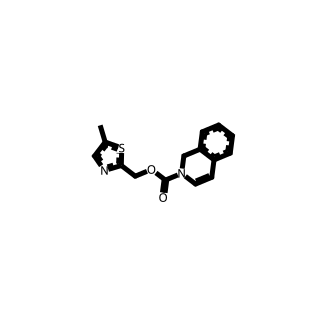 Cc1cnc(COC(=O)N2C=Cc3ccccc3C2)s1